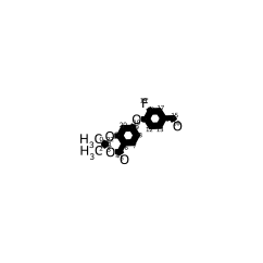 CC1(C)OC(=O)c2ccc(Oc3ccc(C=O)cc3F)cc2O1